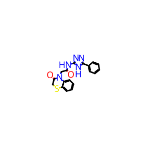 O=C(CN1C(=O)CSc2ccccc21)Nc1nnc(-c2ccccc2)[nH]1